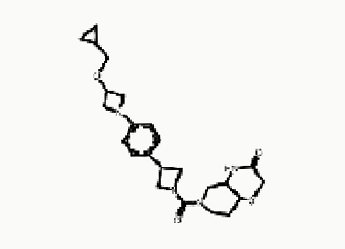 O=C1COC2CCN(C(=O)N3CC(c4ccc(N5CC(OCC6CC6)C5)cc4)C3)CC2N1